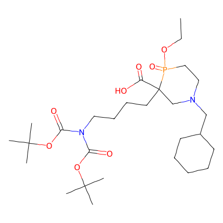 CCOP1(=O)CCN(CC2CCCCC2)CC1(CCCCN(C(=O)OC(C)(C)C)C(=O)OC(C)(C)C)C(=O)O